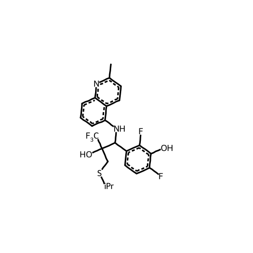 Cc1ccc2c(NC(c3ccc(F)c(O)c3F)C(O)(CSC(C)C)C(F)(F)F)cccc2n1